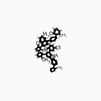 Cc1ccccc1-c1ccc2[nH]c3c(-c4cc(Cl)cc(-n5c6ccc(-c7c(C)cccc7C)cc6c6c7ccccc7c(-c7c(C)cccc7C)cc65)c4Cl)cc(-c4ccccc4C)cc3c2c1